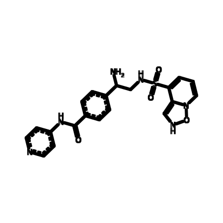 NC(CNS(=O)(=O)C1=CC=CN2ONC=C12)c1ccc(C(=O)Nc2ccncc2)cc1